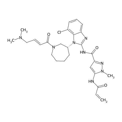 C=CC(=O)Nc1cc(C(=O)Nc2nc3cccc(Cl)c3n2[C@@H]2CCCCN(C(=O)/C=C/CN(C)C)C2)nn1C